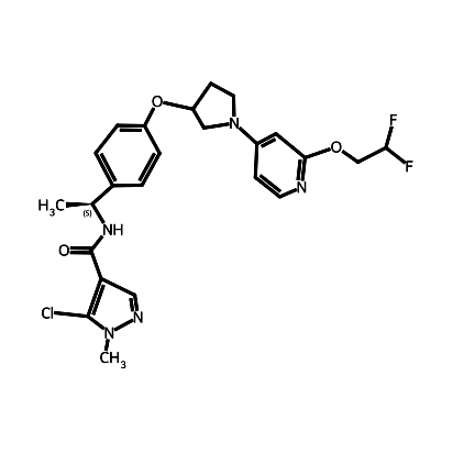 C[C@H](NC(=O)c1cnn(C)c1Cl)c1ccc(OC2CCN(c3ccnc(OCC(F)F)c3)C2)cc1